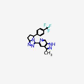 Cc1n[nH]c2cnc(-c3nnc4n3C(c3ccc(C(F)(F)F)cc3)CC4)cc12